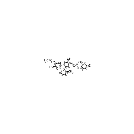 CSCC[C@H](NC(=O)c1ccc(COCCc2ccc(Cl)cc2Cl)cc1-c1ccccc1C)C(=O)O.[LiH]